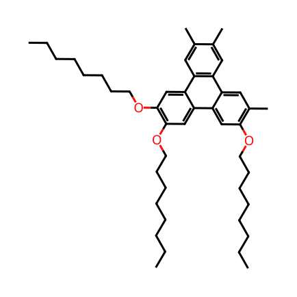 CCCCCCCCOc1cc2c(cc1C)c1cc(C)c(C)cc1c1cc(OCCCCCCCC)c(OCCCCCCCC)cc21